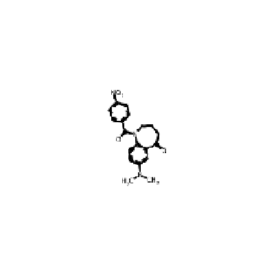 CN(C)c1ccc2c(c1)C(=O)CCCN2C(=O)c1ccc([N+](=O)[O-])cc1